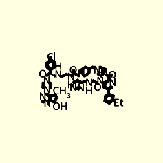 CCc1cccc(-c2cnc(C(=O)N3CCN(CC4CCN(CC(=O)NCCNC[C@@H](C(=O)N5CCN(c6ncnc7c6[C@H](C)C[C@H]7O)CC5)c5ccc(Cl)cc5)CC4)CC3)c(NC(=O)CNCc3ccncn3)c2)c1